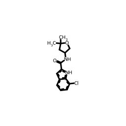 CC1(C)CC(NC(=O)c2cc3cccc(Cl)c3[nH]2)CO1